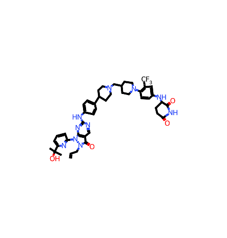 C=CCn1c(=O)c2cnc(Nc3ccc(C4CCN(CC5CCN(c6ccc(NC7CCC(=O)NC7=O)cc6C(F)(F)F)CC5)CC4)cc3)nc2n1-c1cccc(C(C)(C)O)n1